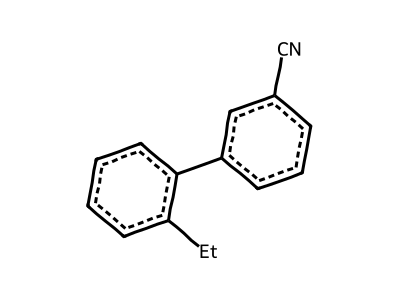 CCc1ccccc1-c1cccc(C#N)c1